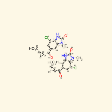 Cn1c(=O)[nH]c2c(Cl)cc(C(=O)[C@H]3C[C@@H]3C(=O)O)cc21.Cn1c(=O)[nH]c2cc(C(=O)[C@H]3C[C@@H]3C(=O)O)cc(Cl)c21